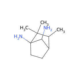 CC1C2CCC(N)(C2N)C1(C)C